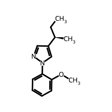 CC[C@@H](C)c1cnn(-c2ccccc2OC)c1